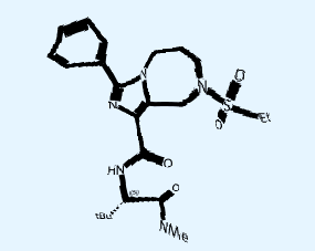 CCS(=O)(=O)N1CCCn2c(-c3ccccc3)nc(C(=O)N[C@H](C(=O)NC)C(C)(C)C)c2C1